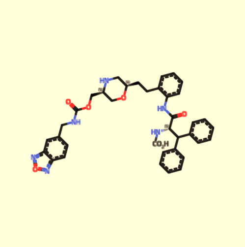 O=C(O)N[C@H](C(=O)Nc1ccccc1CC[C@@H]1CN[C@H](COC(=O)NCc2ccc3nonc3c2)CO1)C(c1ccccc1)c1ccccc1